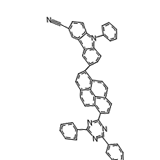 N#Cc1ccc2c(c1)c1cc(-c3ccc4ccc5c(-c6nc(-c7ccccc7)nc(-c7ccccc7)n6)ccc6ccc3c4c65)ccc1n2-c1ccccc1